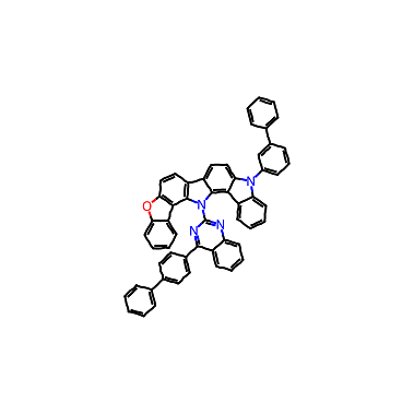 c1ccc(-c2ccc(-c3nc(-n4c5c(ccc6oc7ccccc7c65)c5ccc6c(c7ccccc7n6-c6cccc(-c7ccccc7)c6)c54)nc4ccccc34)cc2)cc1